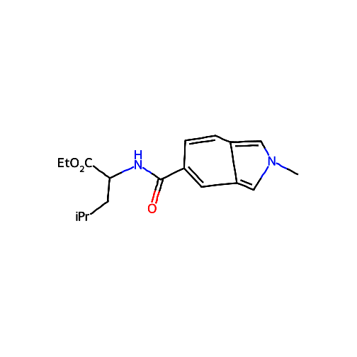 CCOC(=O)C(CC(C)C)NC(=O)c1ccc2cn(C)cc2c1